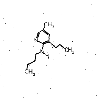 CCCCN(I)c1ncc(C)cc1CCC